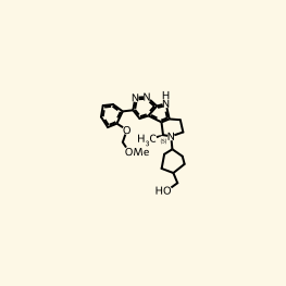 COCOc1ccccc1-c1cc2c3c([nH]c2nn1)CCN(C1CCC(CO)CC1)[C@H]3C